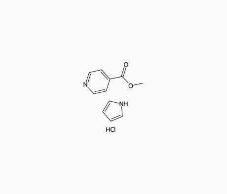 COC(=O)c1ccncc1.Cl.c1cc[nH]c1